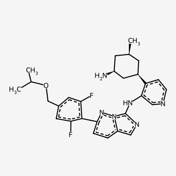 CC(C)OCc1cc(F)c(-c2ccc3cnc(Nc4cnccc4[C@@H]4C[C@H](C)C[C@H](N)C4)n3n2)c(F)c1